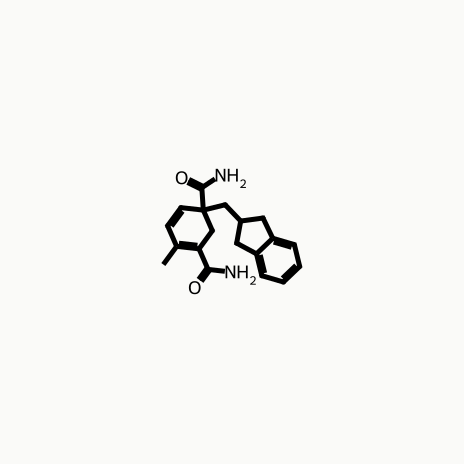 CC1=C(C(N)=O)CC(CC2Cc3ccccc3C2)(C(N)=O)C=C1